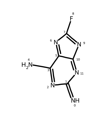 N=C1N=C(N)C2=NC(F)=NC2=N1